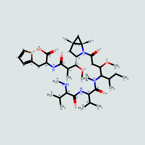 CCC(C)C(C(CC(=O)N1[C@H](C(OC)C(C)C(=O)NC(Cc2cccs2)C(=O)O)C[C@@H]2C[C@@H]21)OC)N(C)C(=O)C(NC(=O)C(NC)C(C)C)C(C)C